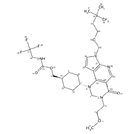 COCCN1CN([C@H]2CC[C@H](COC(=O)NCC(F)(F)F)CC2)c2c(cnc3c2ccn3COCC[Si](C)(C)C)C1=O